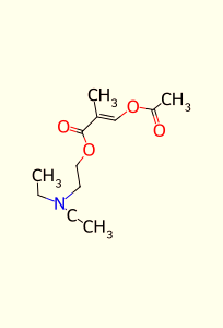 CCN(CC)CCOC(=O)C(C)=COC(C)=O